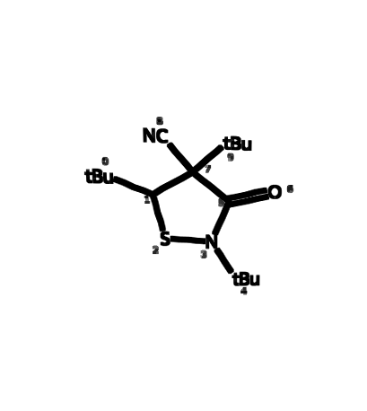 CC(C)(C)C1SN(C(C)(C)C)C(=O)C1(C#N)C(C)(C)C